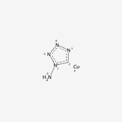 Nn1cnnn1.[Cu]